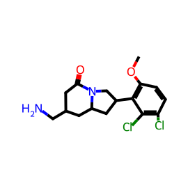 COc1ccc(Cl)c(Cl)c1C1CC2CC(CN)CC(=O)N2C1